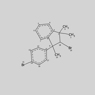 CC1(C)c2ccccc2C(C)(c2ccc(Br)cc2)C1Br